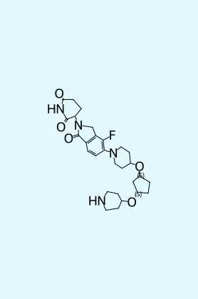 O=C1CCC(N2Cc3c(ccc(N4CCC(O[C@H]5CC[C@H](OC6CCNCC6)C5)CC4)c3F)C2=O)C(=O)N1